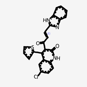 O=C(/C=C/c1nc2ccccc2[nH]1)c1c(-c2cccs2)c2cc(Cl)ccc2[nH]c1=O